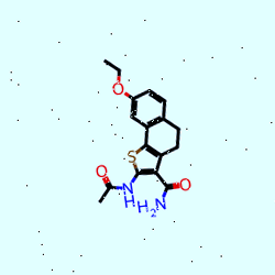 CCOc1ccc2c(c1)-c1sc(NC(C)=O)c(C(N)=O)c1CC2